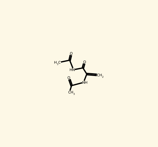 C=C(NC(C)=O)C(=O)NC(C)=O